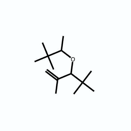 C=C(C)C(OC(C)C(C)(C)C)C(C)(C)C